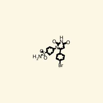 NS(=O)(=O)c1ccc(-n2c(-c3ccc(Br)cc3)cc(=O)[nH]c2=O)cc1